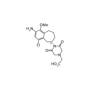 COc1c(N)cc(Cl)c2c1CCC[C@H](N1C(=O)CN(CC(=O)O)CC1=O)C2